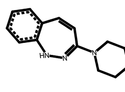 C1=Cc2ccccc2NN=C1N1CCCCC1